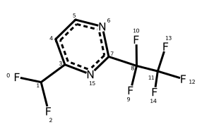 FC(F)c1[c]cnc(C(F)(F)C(F)(F)F)n1